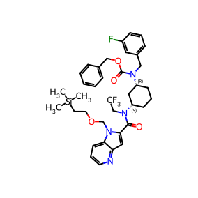 C[Si](C)(C)CCOCn1c(C(=O)N(CC(F)(F)F)[C@H]2CCC[C@@H](N(Cc3cccc(F)c3)C(=O)OCc3ccccc3)C2)cc2ncccc21